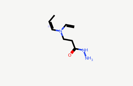 C=CN(/C=C\C)CCC(=O)NN